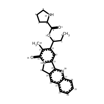 CCC(OC(=O)C1CCCN1)c1cc2n(c(=O)c1C)Cc1cc3ccccc3nc1-2